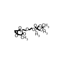 C[C@@H]1C(=O)N(CCOCCOC(=O)C2(C)COC(C)(C)OC2)C(=O)C2C=CC23OC13